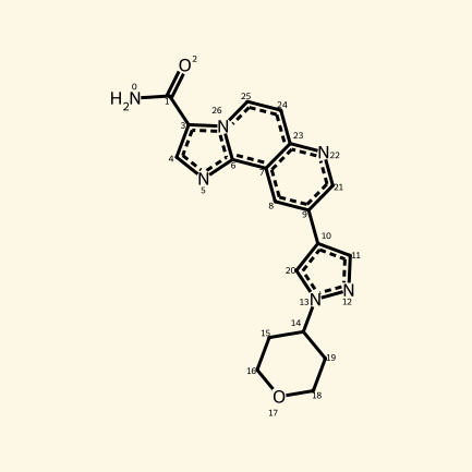 NC(=O)c1cnc2c3cc(-c4cnn(C5CCOCC5)c4)cnc3ccn12